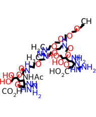 C#CCOCCOCCOCCOCCN(C)/C(=N/C)N(CCOCCCNC(=O)CO[C@@H]([C@@H]1OC(C(=O)O)=C[C@H](NC(=N)N)[C@H]1N)[C@H](O)CO)CCOCCCNC(=O)CO[C@@H]([C@@H]1OC(C(=O)O)=C[C@H](NC(=N)N)[C@H]1NC(C)=O)[C@H](O)CO